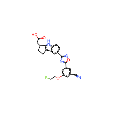 N#Cc1cc(OCCF)cc(-c2nc(-c3ccc4[nH]c5c(c4c3)CCC5CC(=O)O)no2)c1